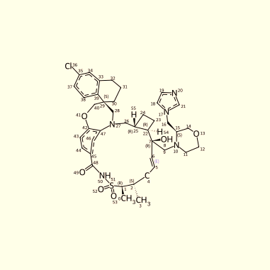 C[C@@H]1[C@@H](C)C/C=C/[C@@](O)(CN2CCOC[C@@H]2Cn2ccnc2)[C@@H]2CC[C@H]2CN2C[C@@]3(CCCc4cc(Cl)ccc43)COc3ccc(cc32)C(=O)NS1(=O)=O